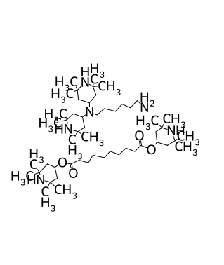 CC1(C)CC(N(CCCCCCN)C2CC(C)(C)NC(C)(C)C2)CC(C)(C)N1.CC1(C)CC(OC(=O)CCCCCCCCC(=O)OC2CC(C)(C)NC(C)(C)C2)CC(C)(C)N1